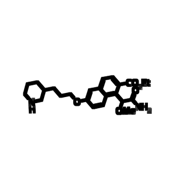 CCOC(=O)c1ccc2cc(OCCCC3CCCNC3)ccc2c1C(OC)C(N)=O